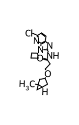 CC12C[C@@H](OCCC(=O)Nc3nc4ccc(Cl)nc4n3C3CCC3)C[C@H]1C2